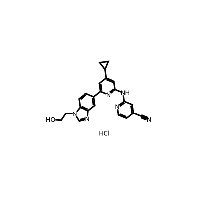 Cl.N#Cc1ccnc(Nc2cc(C3CC3)cc(-c3ccc4c(c3)ncn4CCO)n2)c1